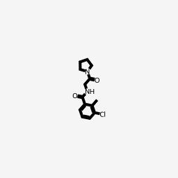 Cc1c(Cl)cccc1C(=O)NCC(=O)N1CCCC1